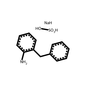 Nc1ccccc1Cc1ccccc1.O=S(=O)(O)O.[NaH]